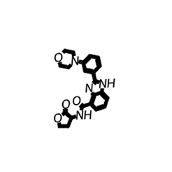 O=C(NC1CCOC1=O)c1cccc2[nH]c(-c3cccc(N4CCOCC4)c3)nc12